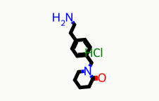 Cl.NCCc1ccc(CN2CCCCC2=O)cc1